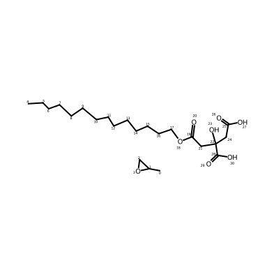 CC1CO1.CCCCCCCCCCCCCCOC(=O)CC(O)(CC(=O)O)C(=O)O